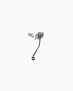 CCCCC(NS(=O)(=O)CCCCCCCCCCCCCCCCc1ccccc1)C(=O)O